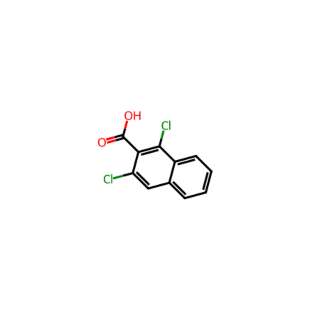 O=C(O)c1c(Cl)cc2ccccc2c1Cl